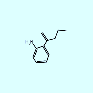 C=C(CCC)c1ccccc1N